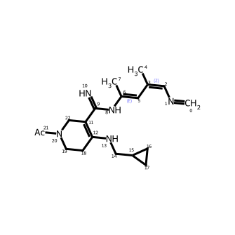 C=N/C=C(C)\C=C(/C)NC(=N)C1=C(NCC2CC2)CCN(C(C)=O)C1